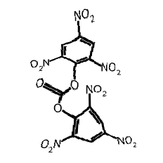 O=C(Oc1c([N+](=O)[O-])cc([N+](=O)[O-])cc1[N+](=O)[O-])Oc1c([N+](=O)[O-])cc([N+](=O)[O-])cc1[N+](=O)[O-]